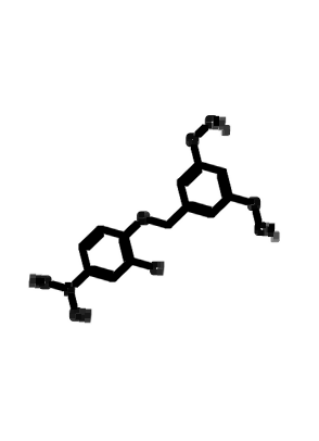 COc1cc(COc2ccc(B(O)O)cc2Cl)cc(OC)c1